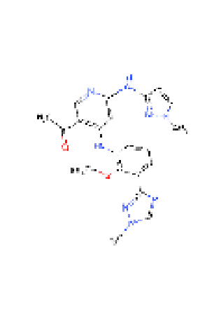 COc1c(Nc2cc(Nc3ccn(C)n3)ncc2C(C)=O)cccc1-c1ncn(C)n1